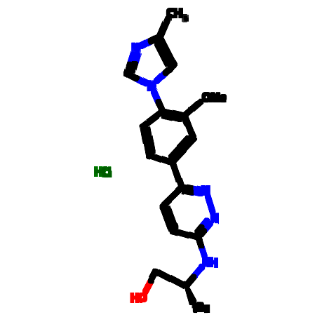 COc1cc(-c2ccc(N[C@H](CO)C(C)(C)C)nn2)ccc1-n1cnc(C)c1.Cl